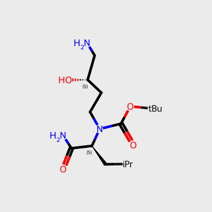 CC(C)C[C@@H](C(N)=O)N(CC[C@H](O)CN)C(=O)OC(C)(C)C